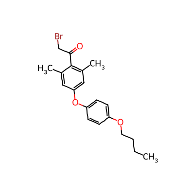 CCCCOc1ccc(Oc2cc(C)c(C(=O)CBr)c(C)c2)cc1